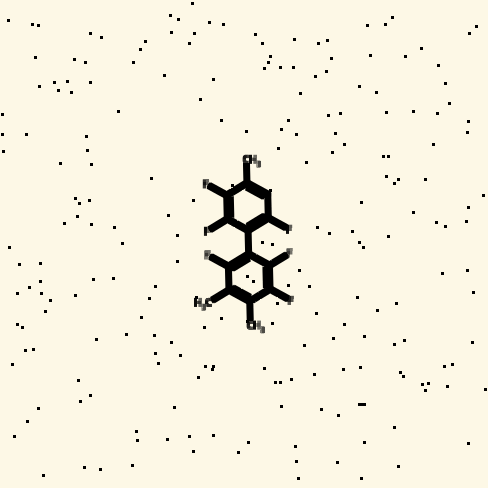 Cc1cc(F)c(-c2c(F)c(C)c(C)c(F)c2F)c(F)c1F